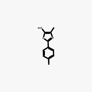 CC(=O)Oc1oc(-c2ccc(C)cc2)nc1C